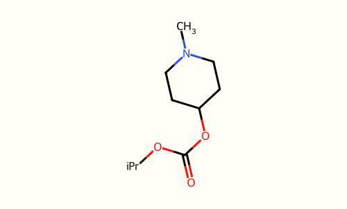 CC(C)OC(=O)OC1CCN(C)CC1